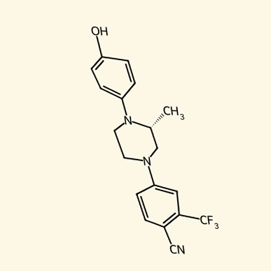 C[C@@H]1CN(c2ccc(C#N)c(C(F)(F)F)c2)CCN1c1ccc(O)cc1